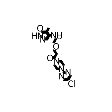 Cc1c(N[C@H](C)COCCC(=O)N2CCN(c3ncc(Cl)cn3)CC2)cn[nH]c1=O